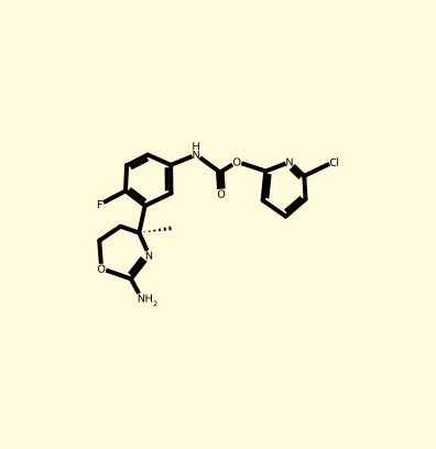 C[C@@]1(c2cc(NC(=O)Oc3cccc(Cl)n3)ccc2F)CCOC(N)=N1